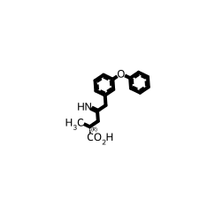 C[C@H](CC(=N)Cc1cccc(Oc2ccccc2)c1)C(=O)O